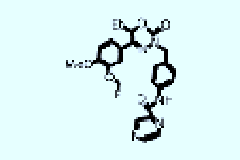 CCC1OC(=O)N(Cc2ccc(NC(=O)c3cnccn3)cc2)N=C1c1ccc(OC)c(OCF)c1